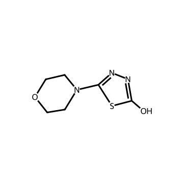 Oc1nnc(N2CCOCC2)s1